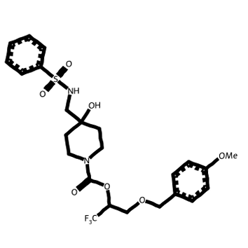 COc1ccc(COCC(OC(=O)N2CCC(O)(CNS(=O)(=O)c3ccccc3)CC2)C(F)(F)F)cc1